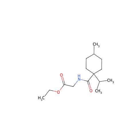 CCOC(=O)CNC(=O)C1(C(C)C)CCC(C)CC1